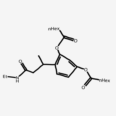 CCCCCCC(=O)Oc1ccc(C(C)CC(=O)NCC)c(OC(=O)CCCCCC)c1